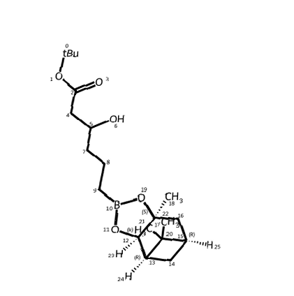 CC(C)(C)OC(=O)CC(O)CCCB1O[C@@H]2[C@@H]3C[C@H](C[C@]2(C)O1)C3(C)C